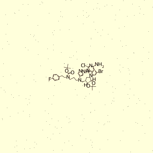 CC(C)(C)OC(=O)N(CCCN(C[C@H]1C[C@@H](n2cc(Br)c3c(N)nc(Cl)nc32)[C@@H]2OC(C)(C)O[C@H]12)c1cn[nH]c1)CCc1ccc(F)cc1